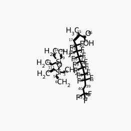 C=C[Si](C=C)(C=C)O[Si](C=C)(C=C)C=C.CC(=CC(F)(F)C(F)(F)C(F)(F)C(F)(F)C(F)(F)C(F)(F)C(F)(F)CCC(F)(F)F)C(=O)O